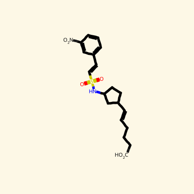 O=C(O)CCCC=CC1CCC(NS(=O)(=O)C=Cc2cccc([N+](=O)[O-])c2)C1